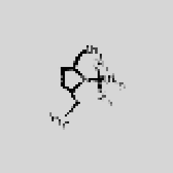 CCC1CCC(CC)P1C(C)(C)C